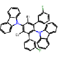 CCc1c(-c2cccc(F)c2)c(-n2c3ccccc3c3ccccc32)c(-c2cccc(F)c2)c(CC)c1-n1c2ccccc2c2ccccc21